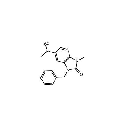 CC(=O)N(C)c1cnc2c(c1)n(Cc1ccccc1)c(=O)n2C